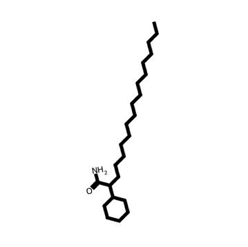 CCCCCCCCCCCCCCCCC(C(N)=O)C1CCCCC1